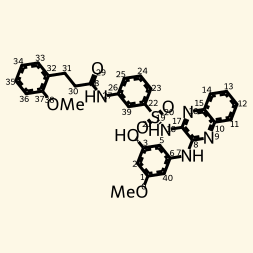 COc1cc(O)cc(Nc2nc3ccccc3nc2NS(=O)(=O)c2cccc(NC(=O)CCc3ccccc3OC)c2)c1